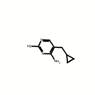 Nc1nc(S)ncc1CC1CC1